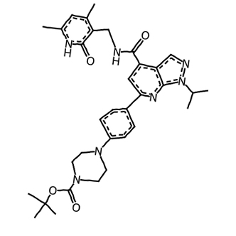 Cc1cc(C)c(CNC(=O)c2cc(-c3ccc(N4CCN(C(=O)OC(C)(C)C)CC4)cc3)nc3c2cnn3C(C)C)c(=O)[nH]1